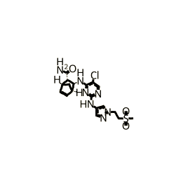 CS(=O)(=O)CCn1cc(Nc2ncc(Cl)c(N[C@H]3[C@@H](C(N)=O)[C@@H]4C=C[C@H]3C4)n2)cn1